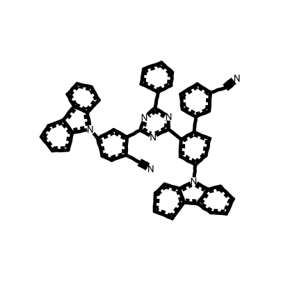 N#Cc1cccc(-c2ccc(-n3c4ccccc4c4ccccc43)cc2-c2nc(-c3ccccc3)nc(-c3cc(-n4c5ccccc5c5ccccc54)ccc3C#N)n2)c1